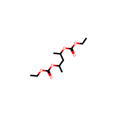 CCOC(=O)OC(C)CC(C)OC(=O)OCC